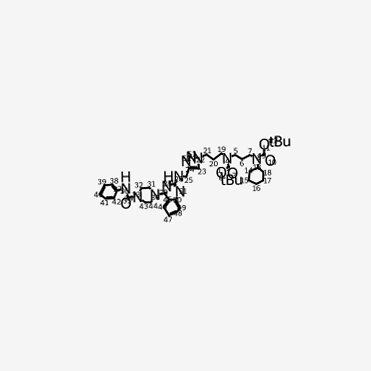 CC(C)(C)OC(=O)N(CCCN(C(=O)OC(C)(C)C)C1CCCCC1)CCCn1cc(CNc2nc(N3CCN(C(=O)Nc4ccccc4)CC3)c3ccccc3n2)nn1